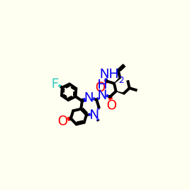 C=CC[C@H](C(N)=O)[C@@H](CC(C)C)C(=O)NC1CN(C)C2=C(CC(=O)C=C2)C(c2ccc(F)cc2)=N1